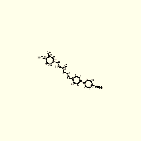 N#Cc1ccc(-c2ccc(OCCC(=O)NCc3cc(=O)c(O)co3)cc2)cc1